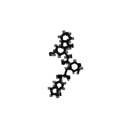 CC1(C)CN(CC(=O)Nc2ccc3[nH]ccc3c2)C(C(=O)Nc2cc(Cl)cc3c2[nH]c2cnccc23)CO1